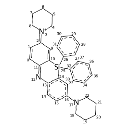 C1=CC(=[N+]2CCCCC2)C=C2C1=Nc1ccc(N3CCCCC3)cc1[Si]2(c1ccccc1)c1ccccc1